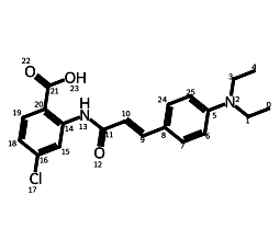 CCN(CC)c1ccc(C=CC(=O)Nc2cc(Cl)ccc2C(=O)O)cc1